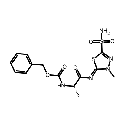 C[C@H](NC(=O)OCc1ccccc1)C(=O)N=c1sc(S(N)(=O)=O)nn1C